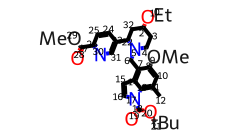 CCOC1CCN(Cc2c(OC)cc(C)c3c2ccn3C(=O)OC(C)(C)C)C(c2ccc(C(=O)OC)nc2)C1